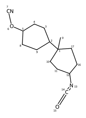 CC1(C2CCC(OC#N)CC2)CCC(N=C=O)CC1